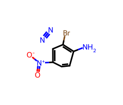 N#N.Nc1ccc([N+](=O)[O-])cc1Br